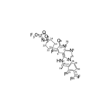 C[C@@H](Nc1ncnc2c1cc(C1(F)CCS(=O)(=NC(=O)C(F)(F)F)CC1)c(=O)n2C)c1cccc(C(F)F)c1F